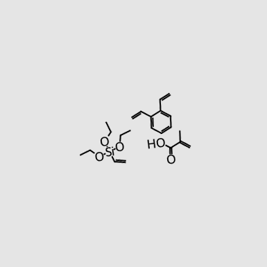 C=C(C)C(=O)O.C=C[Si](OCC)(OCC)OCC.C=Cc1ccccc1C=C